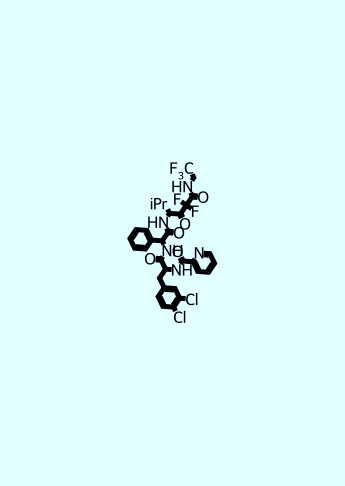 CC(C)C(NC(=O)C(NC(=O)C(Cc1ccc(Cl)c(Cl)c1)NC(=O)c1ccccn1)c1ccccc1)C(=O)C(F)(F)C(=O)NCC(F)(F)F